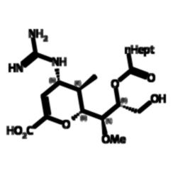 CCCCCCCC(=O)O[C@H](CO)[C@@H](OC)[C@@H]1OC(C(=O)O)=C[C@H](NC(=N)N)[C@H]1C